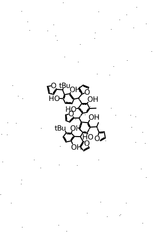 Cc1cc(C(c2ccco2)c2cc(C(c3ccco3)c3c(O)ccc(C(C)(C)C)c3O)c(O)c(C(C)c3ccco3)c2O)c(O)c(C(c2ccco2)c2ccc(O)c(C(c3ccco3)C(C)(C)C)c2O)c1O